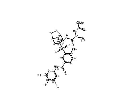 COC(=O)N[C@@H](C)C(=O)NCC1(O)C2CCC1CC(S(=O)(=O)c1cc(C(=O)Nc3cc(F)c(F)c(F)c3)ccc1Cl)C2